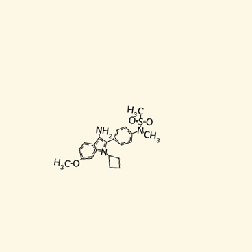 COc1ccc2c(N)c(-c3ccc(N(C)S(C)(=O)=O)cc3)n(C3CCC3)c2c1